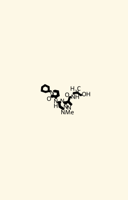 CNc1cc(Nc2cccn(C3CCCCC3)c2=O)nc2c(C(=O)NC[C@H](C)CO)cnn12